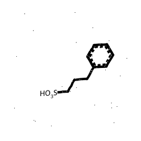 O=S(=O)(O)[CH]CCc1ccccc1